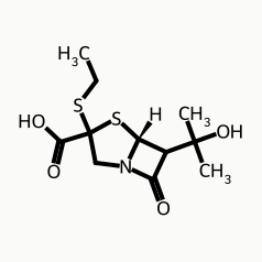 CCSC1(C(=O)O)CN2C(=O)C(C(C)(C)O)[C@H]2S1